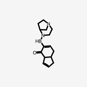 O=C1C(BN2CCN3CCC2C3)=CCC2CC=CC12